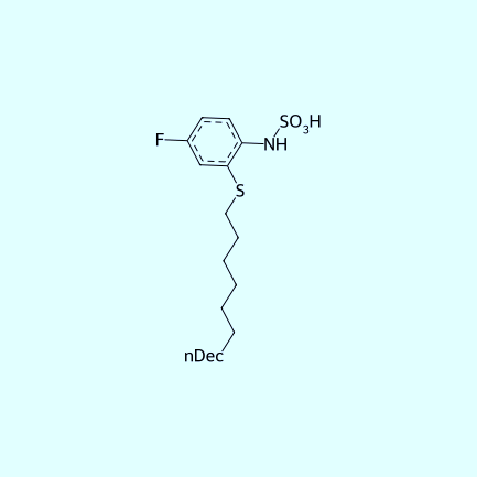 CCCCCCCCCCCCCCCCSc1cc(F)ccc1NS(=O)(=O)O